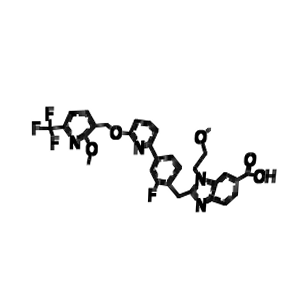 COCCn1c(Cc2ccc(-c3cccc(OCc4ccc(C(F)(F)F)nc4OC)n3)cc2F)nc2ccc(C(=O)O)cc21